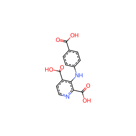 O=C(O)c1ccc(Nc2c(C(=O)O)ccnc2C(=O)O)cc1